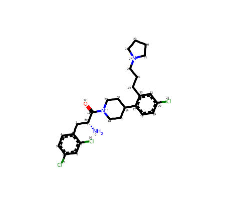 N[C@H](Cc1ccc(Cl)cc1Cl)C(=O)N1CCC(c2ccc(Cl)cc2CCCN2CCCC2)CC1